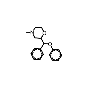 CN1CCOC(C(Oc2ccccc2)c2ccccc2)C1